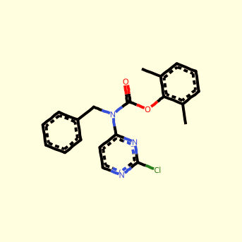 Cc1cccc(C)c1OC(=O)N(Cc1ccccc1)c1ccnc(Cl)n1